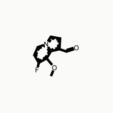 COc1c(F)ccn2ccc(C=O)c12